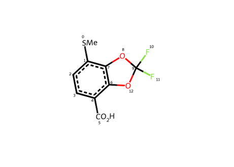 CSc1ccc(C(=O)O)c2c1OC(F)(F)O2